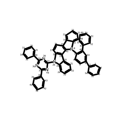 c1ccc(-c2ccc(-n3c4ccccc4c4ccc5c(c6ccccc6n5-c5nc(-c6ccccc6)nc(-c6ccccc6)n5)c43)c(-c3ccccc3)c2)cc1